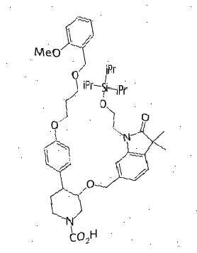 COc1ccccc1COCCCOc1ccc(C2CCN(C(=O)O)CC2OCc2ccc3c(c2)N(CCO[Si](C(C)C)(C(C)C)C(C)C)C(=O)C3(C)C)cc1